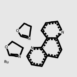 C1=NCCO1.C1=NCCO1.[Ru].c1cnc2c(c1)ccc1ncccc12